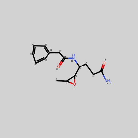 CC1OC1[C@H](CCC(N)=O)NC(=O)Cc1ccccc1